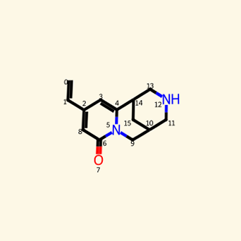 C=Cc1cc2n(c(=O)c1)CC1CNCC2C1